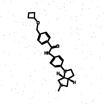 CN1C[C@H]2CCN(c3ccc(NC(=O)c4ccc(COC5CCC5)cc4)cc3)[C@H]2C1